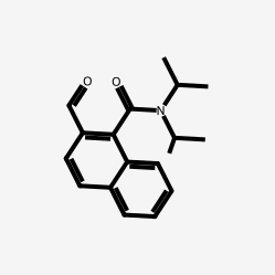 CC(C)N(C(=O)c1c(C=O)ccc2ccccc12)C(C)C